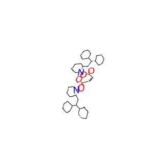 O=C(/C=C\C(=O)ON1CCCCC1CC(C1CCCCC1)C1CCCCC1)ON1CCCCC1CC(C1CCCCC1)C1CCCCC1